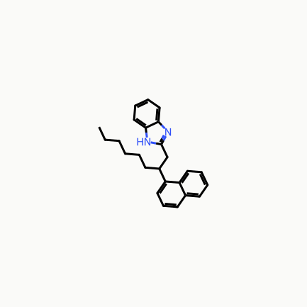 CCCCCCC(Cc1nc2ccccc2[nH]1)c1cccc2ccccc12